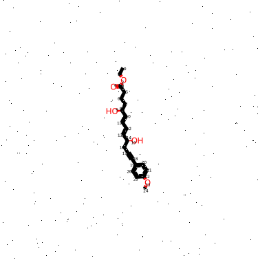 CCOC(=O)CCC[C@H](O)/C=C/C=C/[C@H](O)CC#Cc1ccc(OC)cc1